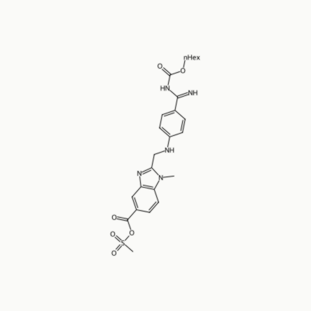 CCCCCCOC(=O)NC(=N)c1ccc(NCc2nc3cc(C(=O)OS(C)(=O)=O)ccc3n2C)cc1